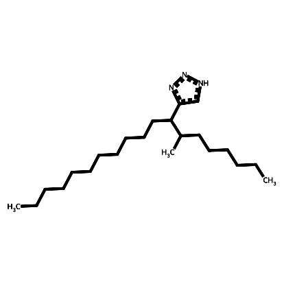 CCCCCCCCCCCC(c1c[nH]nn1)C(C)CCCCCC